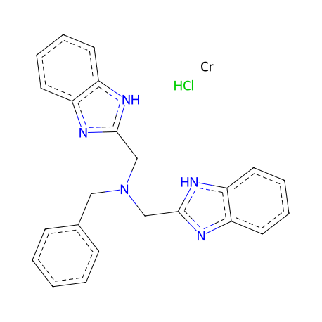 Cl.[Cr].c1ccc(CN(Cc2nc3ccccc3[nH]2)Cc2nc3ccccc3[nH]2)cc1